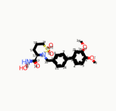 COc1ccc(-c2ccc(CN3[C@@H](C(=O)NO)CCCS3(=O)=O)cc2)cc1OC